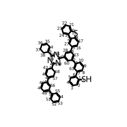 Sc1ccccc1-c1cccc(-c2cc(-c3ccc4sc5ccccc5c4c3)cc(-c3nc(C4=CC=CCC4)nc(C4C=CC(c5cccc(-c6ccccc6)c5)=CC4)n3)c2)c1